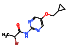 CC(Br)C(=O)Nc1ncc(OCC2CC2)cn1